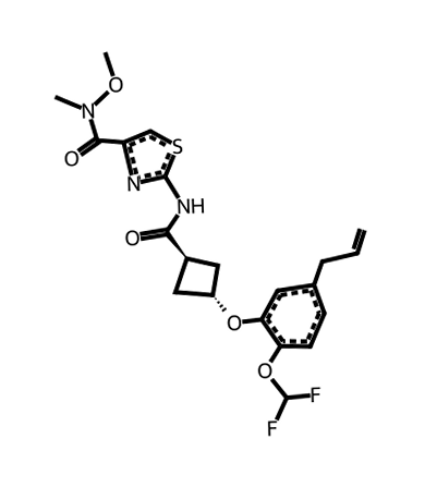 C=CCc1ccc(OC(F)F)c(O[C@H]2C[C@H](C(=O)Nc3nc(C(=O)N(C)OC)cs3)C2)c1